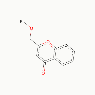 CCOCc1cc(=O)c2ccccc2o1